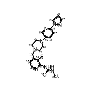 CCNC(=O)Nc1ncnc(CN2CCN(c3ccc(-n4cccn4)nc3)CC2)c1F